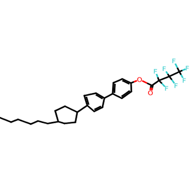 CCCCCCC1CCC(c2ccc(-c3ccc(OC(=O)C(F)(F)C(F)(F)C(F)(F)F)cc3)cc2)CC1